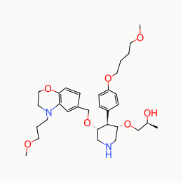 COCCCCOc1ccc([C@@H]2[C@@H](OCc3ccc4c(c3)N(CCCOC)CCO4)CNC[C@H]2OC[C@H](C)O)cc1